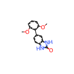 COc1cccc(OC)c1-c1ccc2[nH]c(=O)[nH]c2c1